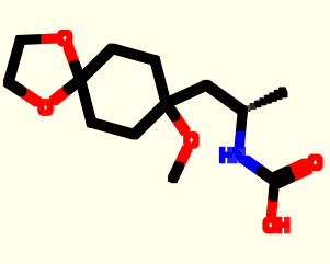 COC1(C[C@H](C)NC(=O)O)CCC2(CC1)OCCO2